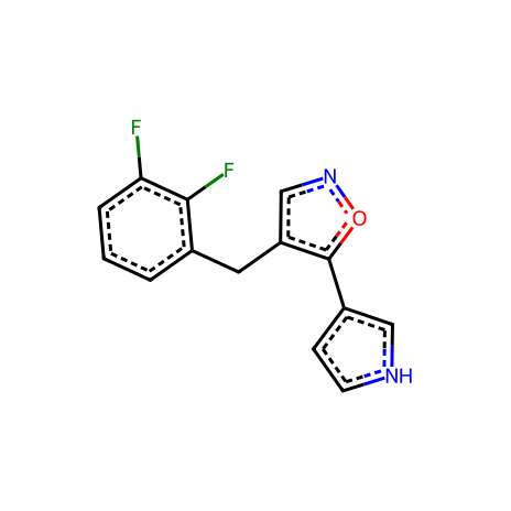 Fc1cccc(Cc2cnoc2-c2cc[nH]c2)c1F